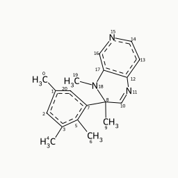 Cc1cc(C)c(C)c(C2(C)C=Nc3ccncc3N2C)c1